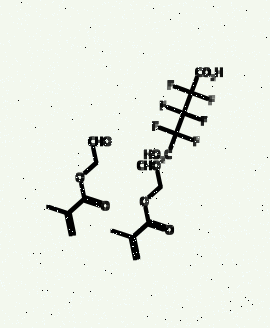 C=C(C)C(=O)OCC=O.C=C(C)C(=O)OCC=O.O=C(O)C(F)(F)C(F)(F)C(F)(F)C(=O)O